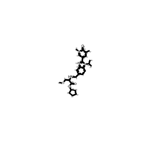 COCC(NCc1ccc2c(c1)nc(-c1cc(C)c(=O)n(C)c1)n2C(C)C)C(=O)OC1CCCC1